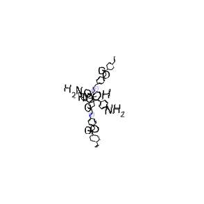 C=CC1CCC(C(=O)Oc2ccc(/C=C/C(=O)CC(Cc3ccc(N)cc3)(Cc3ccc(N)cc3)C(O)(O)C(=O)/C=C/c3ccc(OC(=O)C4CCC(C=C)CC4)cc3)cc2)CC1